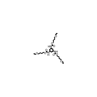 C=COCCCCOC(=O)Nc1cc(NC(=O)OCCCCOC=C)cc(NC(=O)OCCCCOC=C)c1